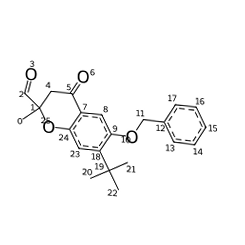 CC1(C=O)CC(=O)c2cc(OCc3ccccc3)c(C(C)(C)C)cc2O1